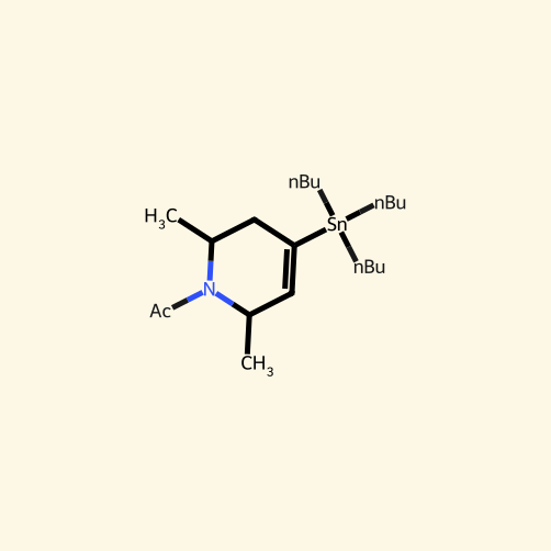 CCC[CH2][Sn]([CH2]CCC)([CH2]CCC)[C]1=CC(C)N(C(C)=O)C(C)C1